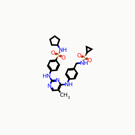 Cc1cnc(Nc2ccc(S(=O)(=O)NC3CCCC3)cc2)nc1Nc1ccc(CNS(=O)(=O)C2CC2)cc1